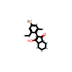 CCc1cc(Br)cc(C)c1C1=C(O)C2CCCCC2C1=O